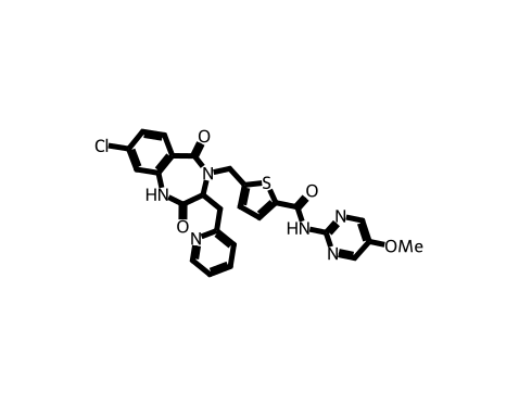 COc1cnc(NC(=O)c2ccc(CN3C(=O)c4ccc(Cl)cc4NC(=O)C3Cc3ccccn3)s2)nc1